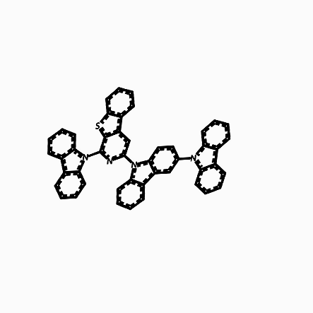 c1ccc2c(c1)sc1c(-n3c4ccccc4c4ccccc43)nc(-n3c4ccccc4c4cc(-n5c6ccccc6c6ccccc65)ccc43)cc12